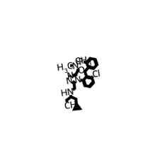 CCC(CC1CC1)NCc1nnc(CN(C)C)n1-c1cccc(Cl)c1C(=O)c1ccccc1F